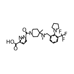 CN(Cc1cccc(C(F)(F)F)c1N1CCCC1)C1(C)CCN(C(=O)n2ccc(C(=O)O)n2)CC1